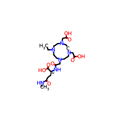 CCN1CCN(CC(=O)O)CCN(CC(=O)O)CCN(CC(=O)N[C@@H](CCC(=O)NC)C(=O)O)CC1